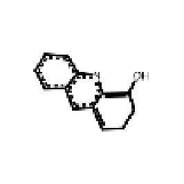 OC1=c2nc3ccccc3cc2=CCC1